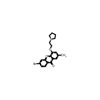 Cc1cc(OCCN2CCCC2)c2oc3cc(Br)ccc3c(=O)c2c1